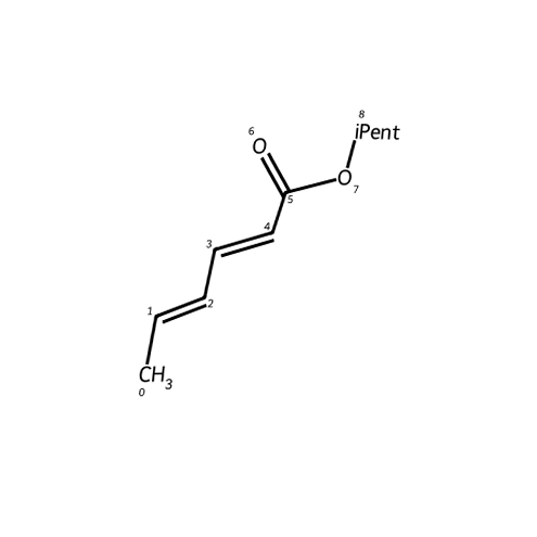 CC=CC=CC(=O)OC(C)CCC